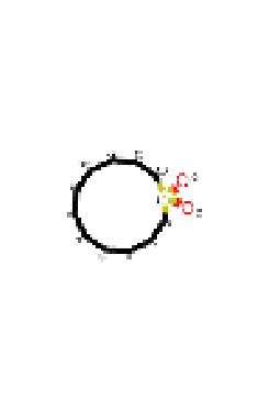 O=S1(=O)CCCCCCCCCCC1